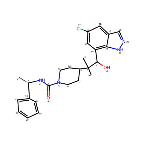 C[C@H](NC(=O)N1CCC(C(C)(C)C(O)c2cc(Cl)cc3cn[nH]c23)CC1)c1ccccc1